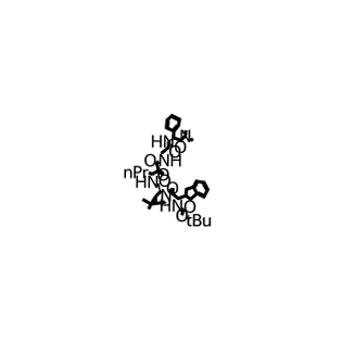 CCCC(NC(=O)[C@@H]1C2C(CN1C(=O)[C@@H](NC(=O)OC(C)(C)C)C1Cc3ccccc3C1)C2(C)C)C(=O)C(=O)NCC(=O)N[C@H](C(=O)N(C)C)c1ccccc1